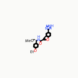 CCOc1ccc([C@H](COC)NC(=O)C2C3Oc4ccc(-c5nn[nH]n5)cc4C32)cc1